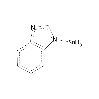 [SnH3][n]1cnc2ccccc21